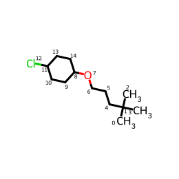 CC(C)(C)CCCOC1CCC(Cl)CC1